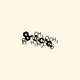 CCOc1ccc(CN2CCN(C3(C)CCN(C(=O)c4c(C)c[n+]([O-])cc4C)CC3)C[C@@H]2C)c2ccccc12